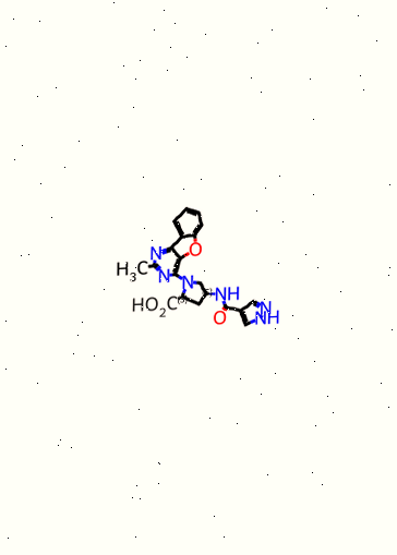 Cc1nc(N2C[C@@H](NC(=O)c3cn[nH]c3)C[C@H]2C(=O)O)c2oc3ccccc3c2n1